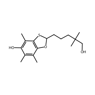 Cc1c(C)c2c(c(C)c1O)SC(CCCC(C)(C)CO)O2